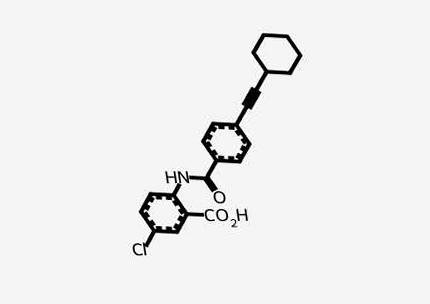 O=C(Nc1ccc(Cl)cc1C(=O)O)c1ccc(C#CC2CCCCC2)cc1